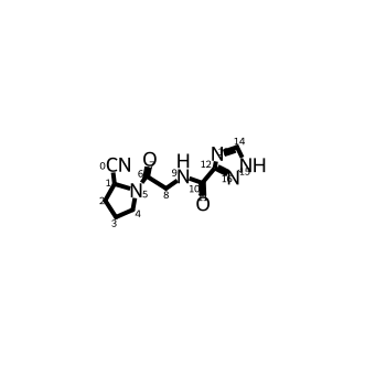 N#CC1CCCN1C(=O)CNC(=O)c1nc[nH]n1